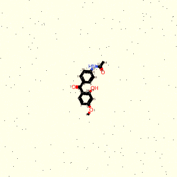 COc1ccc(C(=O)c2ccc(NC(C)=O)cc2)c(O)c1